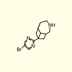 Brc1cnc(C23CC4CNCC(C2)C3C4)nc1